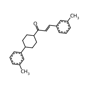 Cc1cccc(/C=C/C(=O)C2CCC(c3cccc(C)c3)CC2)c1